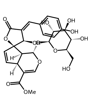 COC(=O)C1=CO[C@@H](O[C@@H]2O[C@H](CO)[C@@H](O)[C@H](O)[C@H]2O)[C@H]2[C@@H]1C=C[C@@]21OC(=O)/C(=C/c2ccc(O)cc2)[C@H]1O